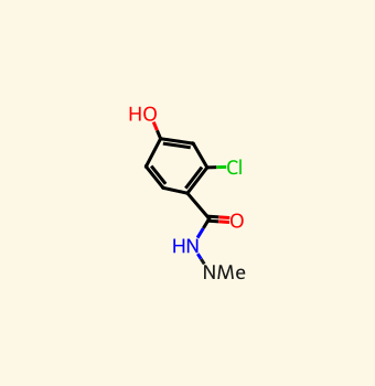 CNNC(=O)c1ccc(O)cc1Cl